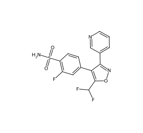 NS(=O)(=O)c1ccc(-c2c(-c3cccnc3)noc2C(F)F)cc1F